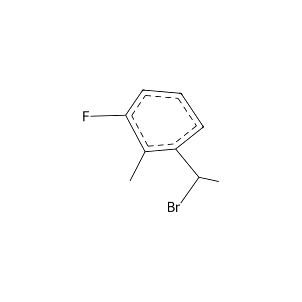 Cc1c(F)cccc1C(C)Br